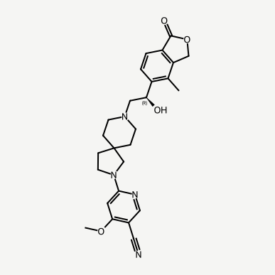 COc1cc(N2CCC3(CCN(C[C@H](O)c4ccc5c(c4C)COC5=O)CC3)C2)ncc1C#N